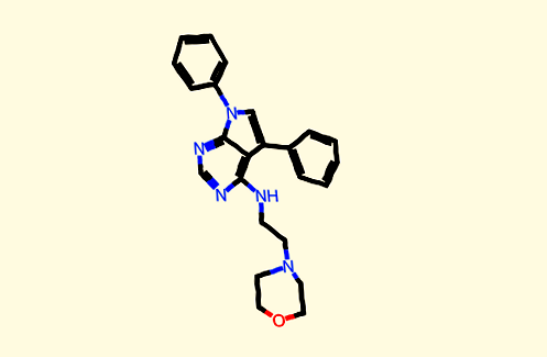 c1ccc(-c2cn(-c3ccccc3)c3ncnc(NCCN4CCOCC4)c23)cc1